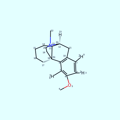 [2H]c1c([2H])c(OC)c([2H])c2c1C[C@H]1C3CCCC[C@@]23CCN1C